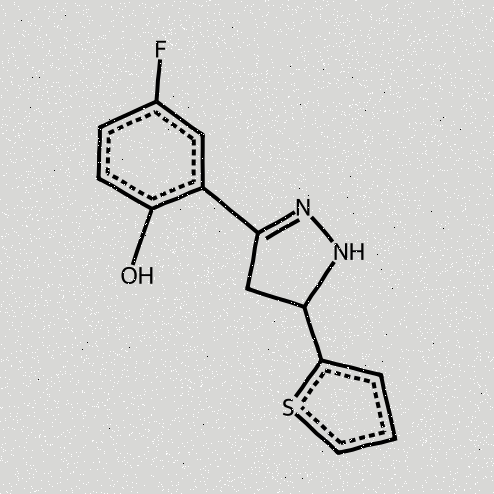 Oc1ccc(F)cc1C1=NNC(c2cccs2)C1